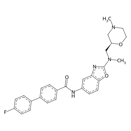 CN1CCO[C@@H](CN(C)c2nc3cc(NC(=O)c4ccc(-c5ccc(F)cc5)cc4)ccc3o2)C1